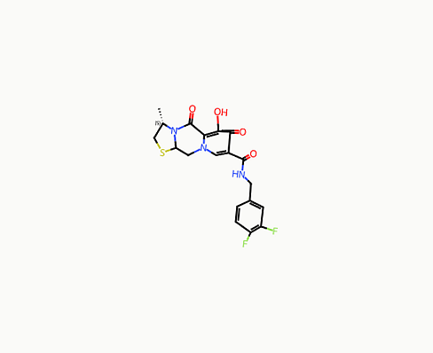 C[C@H]1CSC2Cn3cc(C(=O)NCc4ccc(F)c(F)c4)c(=O)c(O)c3C(=O)N21